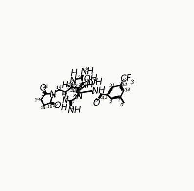 Cc1cc(C(=O)NC2CN3C(=N)N[C@@H](CN4C(=O)CCC4=O)[C@@H]4NC(=N)N[C@@]43C2(O)O)cc(C(F)(F)F)c1